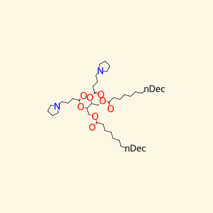 CCCCCCCCCCCCCCCCC(=O)OCC(OC(=O)CCCN1CCCC1)C(COC(=O)CCCCCCCCCCCCCCCC)OC(=O)CCCN1CCCC1